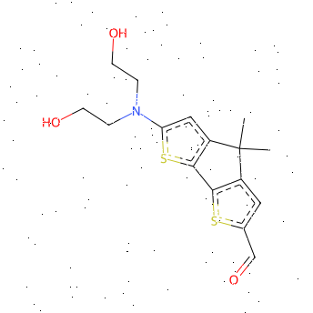 CC1(C)c2cc(C=O)sc2-c2sc(N(CCO)CCO)cc21